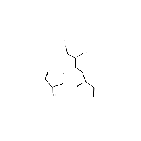 CC(=O)NC(CS)C(=O)O.OC[C@@H](O)[C@@H](O)[C@H](O)[C@H](O)CO